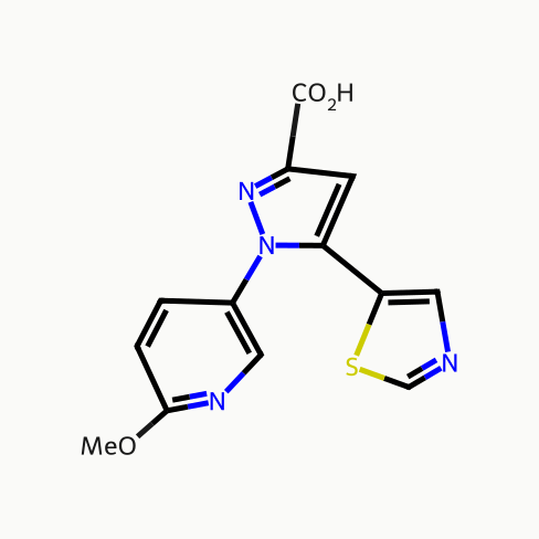 COc1ccc(-n2nc(C(=O)O)cc2-c2cncs2)cn1